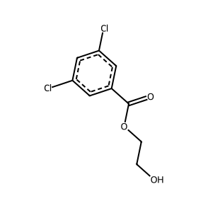 O=C(OCCO)c1cc(Cl)cc(Cl)c1